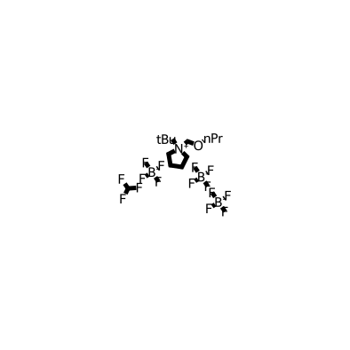 CCCOC[N+]1(C(C)(C)C)CCCC1.FC(F)F.F[B-](F)(F)F.F[B-](F)(F)F.F[B-](F)(F)F